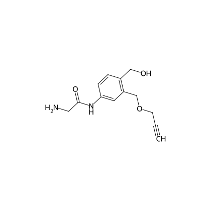 C#CCOCc1cc(NC(=O)CN)ccc1CO